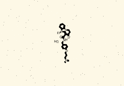 CCN1C2=C(C(=O)NCc3ccc(OCCCN(C)C)cc3)C(=O)CCN2c2ccccc21.Cl